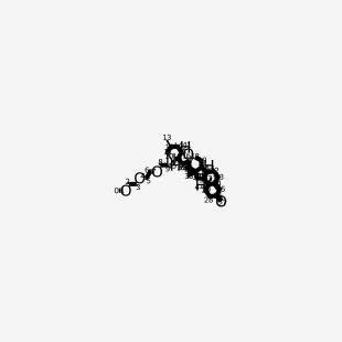 COCCOCCOCCN1C[C@@H](C)C[C@H]2O[C@]3(CC[C@H]4[C@@H]5CCC6=CC(=O)CC[C@]6(C)[C@H]5CC45CC53C)[C@H](C)[C@@H]21